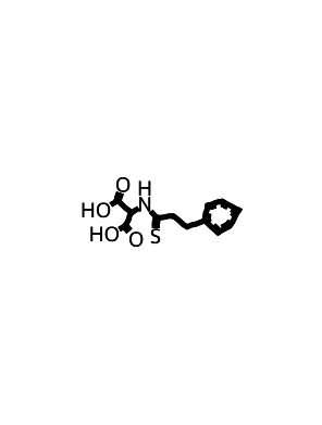 O=C(O)C(NC(=S)CCc1ccccc1)C(=O)O